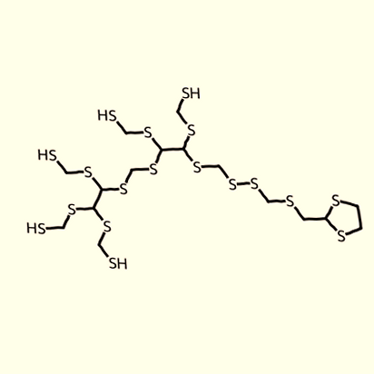 SCSC(SCS)C(SCS)SCSC(SCS)C(SCS)SCSSCSCC1SCCS1